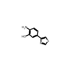 Nc1ccc(-c2cscn2)cc1O